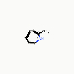 [SiH2]C1=CC=CC=CN1